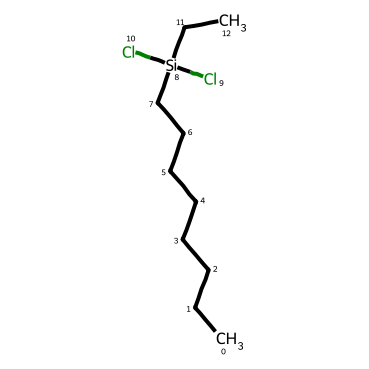 CCCCCCCC[Si](Cl)(Cl)CC